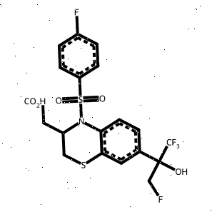 O=C(O)CC1CSc2cc(C(O)(CF)C(F)(F)F)ccc2N1S(=O)(=O)c1ccc(F)cc1